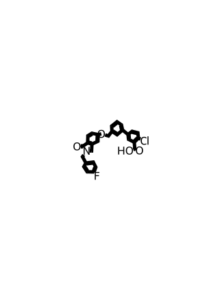 O=C(O)c1cc(-c2cccc(COc3ccc4c(c3)CN(Cc3ccc(F)cc3)C4=O)c2)ccc1Cl